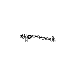 CC(C)(C)OC(=O)NC1CCC(COCCOCCOCCOCCOS(C)(=O)=O)CC1